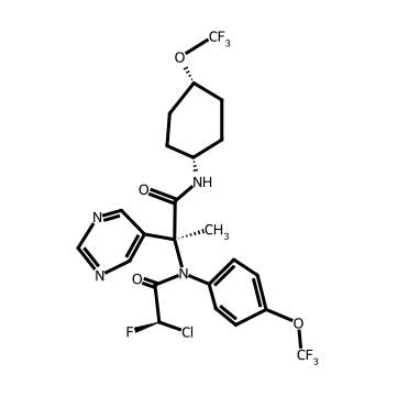 C[C@@](C(=O)N[C@H]1CC[C@@H](OC(F)(F)F)CC1)(c1cncnc1)N(C(=O)[C@H](F)Cl)c1ccc(OC(F)(F)F)cc1